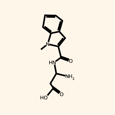 Cn1c(C(=O)NC(N)CC(=O)O)cc2ccccc21